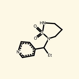 CCC(c1ccncc1)N1CCCNS1(=O)=O